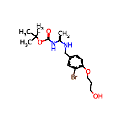 C=C(NCc1ccc(OCCCO)c(Br)c1)NC(=O)OC(C)(C)C